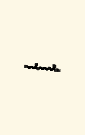 CCCCC(CC)COCCCCOC(=O)CCCBr